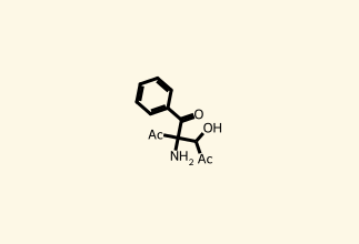 CC(=O)C(O)C(N)(C(C)=O)C(=O)c1ccccc1